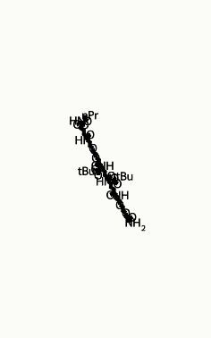 CCCC(=O)NS(=O)(=O)CCCC(=O)NCCOCCOCC(=O)NC(CCC(=O)NC(CCC(=O)NCCOCCOCC(N)=O)C(=O)OC(C)(C)C)C(=O)OC(C)(C)C